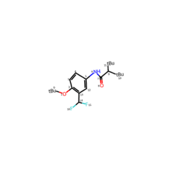 CC(C)(C)Oc1ccc(NC(=O)C(C(C)(C)C)C(C)(C)C)cc1C(F)F